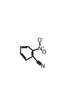 N#Cc1cc[c][c]c1[N+](=O)[O-]